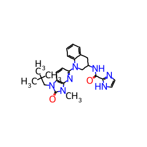 Cn1c(=O)n(CC(C)(C)C)c2ccc(N3CC(NC(=O)c4ncc[nH]4)Cc4ccccc43)nc21